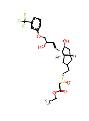 CCOC(=O)C[S+]([O-])CCC1C[C@H]2C[C@H](O)[C@@H](C=CC(O)COc3cccc(C(F)(F)F)c3)[C@@H]2C1